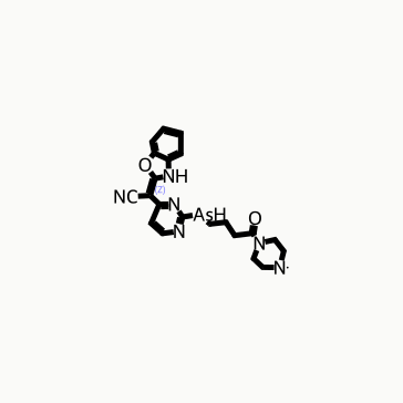 N#C/C(=C1/Nc2ccccc2O1)c1ccnc([AsH]CCCC(=O)N2CC[N]CC2)n1